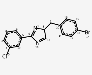 Clc1cccc(C2=NC(Cc3ccc(Br)cc3)C=N2)c1